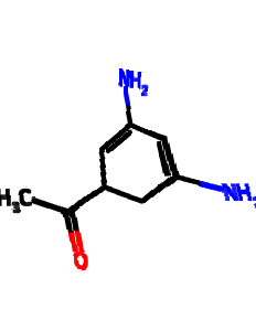 CC(=O)C1C=C(N)C=C(N)C1